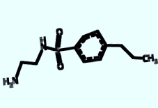 CCCc1ccc(S(=O)(=O)NCCN)cc1